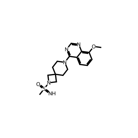 COc1cccc2c(N3CCC4(CC3)CN(S(C)(=N)=O)C4)ncnc12